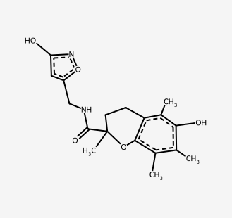 Cc1c(C)c2c(c(C)c1O)CCC(C)(C(=O)NCc1cc(O)no1)O2